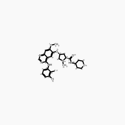 COc1cc2ncnc(Nc3cccc(Cl)c3F)c2cc1O[C@H]1C[C@@H](C(=O)NC2CCOCC2)N(C)C1